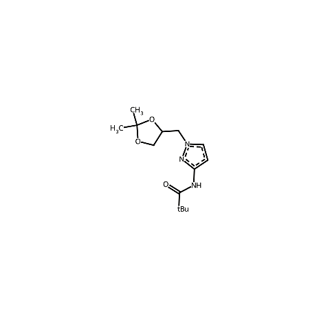 CC1(C)OCC(Cn2ccc(NC(=O)C(C)(C)C)n2)O1